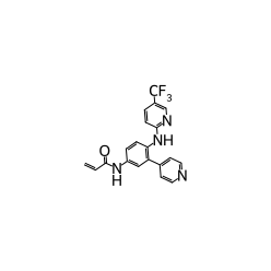 C=CC(=O)Nc1ccc(Nc2ccc(C(F)(F)F)cn2)c(-c2ccncc2)c1